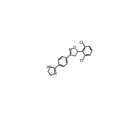 Clc1cccc(Cl)c1C1CC(c2ccc(C3=NCCN3)cc2)=NO1